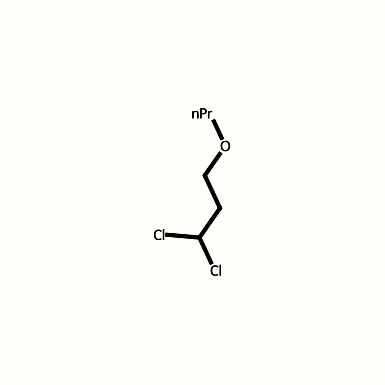 CCCOCCC(Cl)Cl